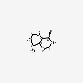 CC[C@H]1OCOC2C1OCO[C@@H]2CC